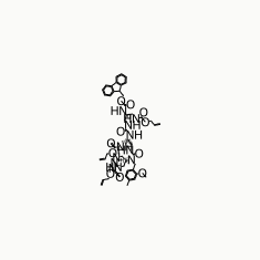 C=CCOC(=O)NC[C@@H](CNC(=O)N(Cc1ccc(C)cc1OC)[C@H](CN=[N+]=[N-])CNC(=O)OCC=C)NC(=O)NC[C@H](CNC(=O)OCC=C)NC(=O)OCC1c2ccccc2-c2ccccc21